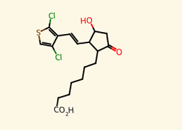 O=C(O)CCCCCCC1C(=O)CC(O)C1C=Cc1c(Cl)csc1Cl